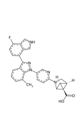 Cc1cccc2c(-c3ccc(F)c4c[nH]cc34)nn(-c3ccc(N4C[C@@H]5[C@@H]6C4[C@@]56C(=O)O)nc3)c12